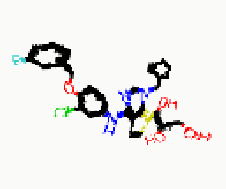 OC[C@@H](O)[C@H](O)S1=C2C(=C(Nc3ccc(OCc4cccc(F)c4)c(Cl)c3)N=CN2Cc2ccccc2)C=C1